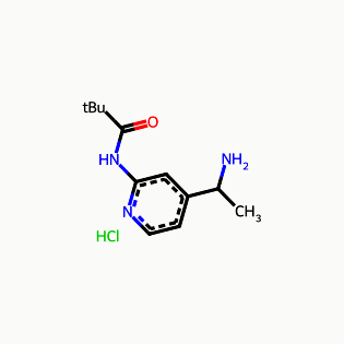 CC(N)c1ccnc(NC(=O)C(C)(C)C)c1.Cl